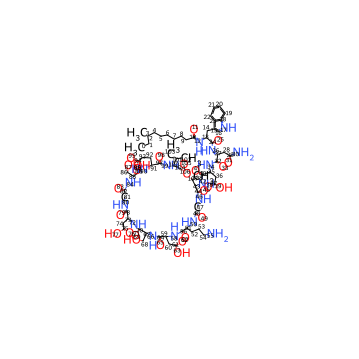 CCC(C)CCCCCCC(=O)NC(Cc1c[nH]c2ccccc12)C(=O)NC(CC(N)=O)C(=O)NC(CC(=O)O)C(=O)NC1C(=O)NCC(=O)NC(CCCN)C(=O)NC(CC(=O)O)C(=O)NC(CO)C(=O)NC(CC(=O)O)C(=O)NCC(=O)NC(CO)C(=O)NC(CCC(=O)O)C(=O)NC(C(C)C)C(=O)OC1C